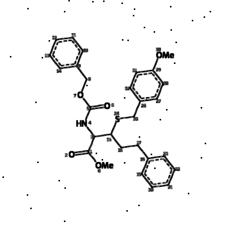 COC(=O)C(NC(=O)OCc1ccccc1)C(CCc1ccccc1)SCc1ccc(OC)cc1